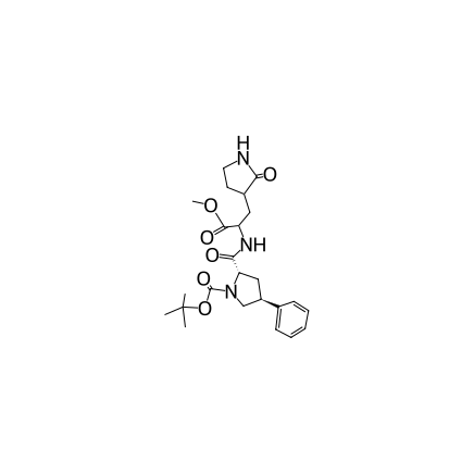 COC(=O)C(CC1CCNC1=O)NC(=O)[C@@H]1C[C@@H](c2ccccc2)CN1C(=O)OC(C)(C)C